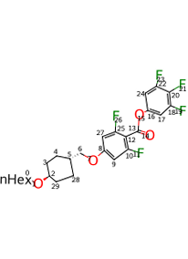 CCCCCCO[C@H]1CC[C@H](COc2cc(F)c(C(=O)Oc3cc(F)c(F)c(F)c3)c(F)c2)CC1